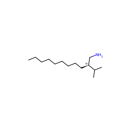 CCCCCCCCC[C@@H](CN)C(C)C